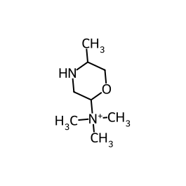 CC1COC([N+](C)(C)C)CN1